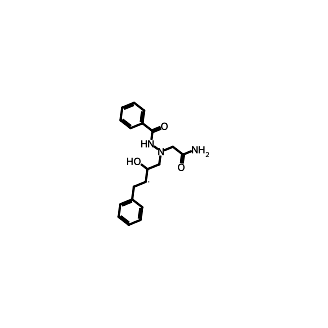 NC(=O)CN(CC(O)[CH]Cc1ccccc1)NC(=O)c1ccccc1